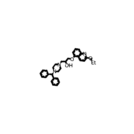 CCOc1ccc2c(OCC(O)CN3CCN(C(c4ccccc4)c4ccccc4)CC3)cccc2n1